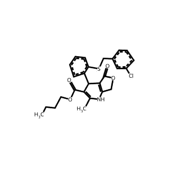 CCCCOC(=O)C1=C(C)NC2=C(C(=O)OC2)C1c1ccccc1SCc1cccc(Cl)c1